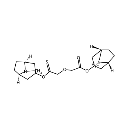 CN1[C@@H]2CC[C@H]1CC(OC(=O)COCC(=S)OC1C[C@H]3CC[C@@H](C1)N3C)C2